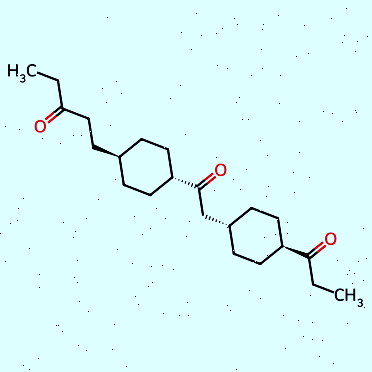 CCC(=O)CC[C@H]1CC[C@H](C(=O)C[C@H]2CC[C@H](C(=O)CC)CC2)CC1